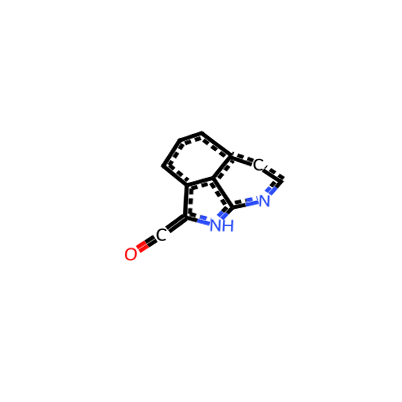 O=C=c1[nH]c2nccc3cccc1c32